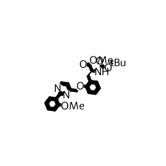 COC(=O)[C@H](Cc1ccccc1OCc1ccnc(-c2ccccc2OC)n1)NC(=O)OC(C)(C)C